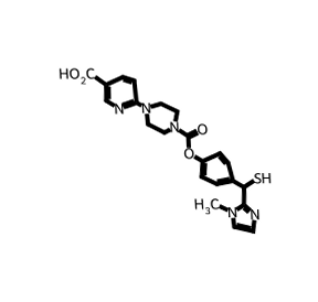 Cn1ccnc1C(S)c1ccc(OC(=O)N2CCN(c3ccc(C(=O)O)cn3)CC2)cc1